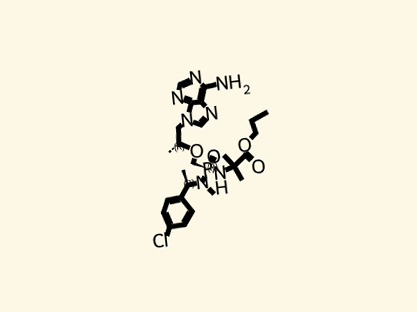 CCCOC(=O)C(C)(C)N[P@](=O)(CO[C@H](C)Cn1cnc2c(N)ncnc21)N(C)[C@H](C)c1ccc(Cl)cc1